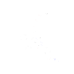 COC(=O)C[C@H](O)C[C@H](O)/C=C/c1c(-c2ccc(F)cc2)c(-c2ccc(F)cc2)c(C(=O)Nc2ccc(S(N)(=O)=O)cc2)n1C(C)C